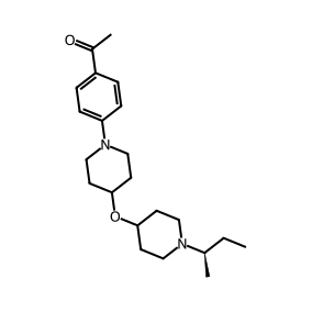 CC[C@@H](C)N1CCC(OC2CCN(c3ccc(C(C)=O)cc3)CC2)CC1